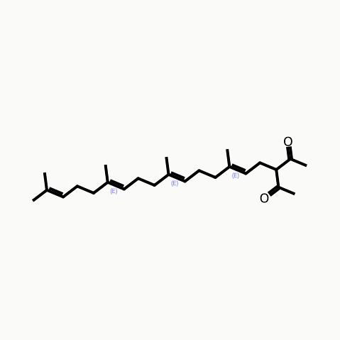 CC(=O)C(C/C=C(\C)CC/C=C(\C)CC/C=C(\C)CCC=C(C)C)C(C)=O